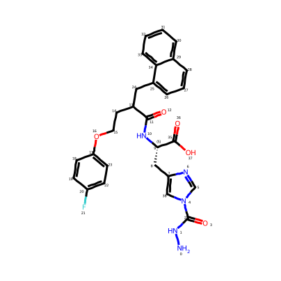 NNC(=O)n1cnc(C[C@H](NC(=O)C(CCOc2ccc(F)cc2)Cc2cccc3ccccc23)C(=O)O)c1